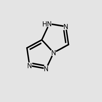 c1nnn2cn[nH]c12